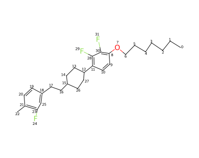 CCCCCCCOc1ccc(C2CCC(CCc3ccc(C)c(F)c3)CC2)c(F)c1F